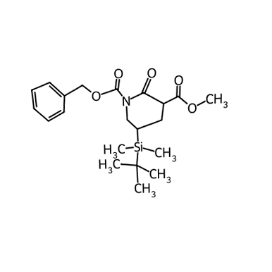 COC(=O)C1CC([Si](C)(C)C(C)(C)C)CN(C(=O)OCc2ccccc2)C1=O